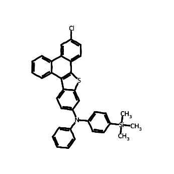 C[Si](C)(C)c1ccc(N(c2ccccc2)c2ccc3c(c2)sc2c4ccc(Cl)cc4c4ccccc4c32)cc1